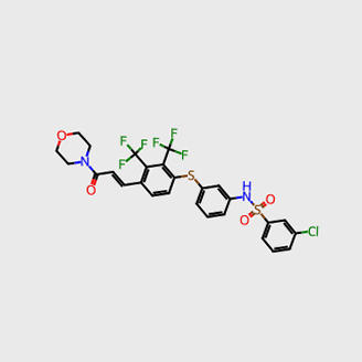 O=C(/C=C/c1ccc(Sc2cccc(NS(=O)(=O)c3cccc(Cl)c3)c2)c(C(F)(F)F)c1C(F)(F)F)N1CCOCC1